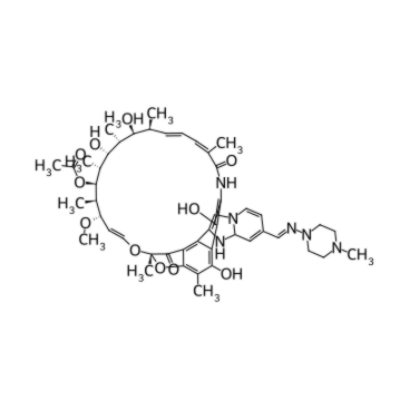 CO[C@H]1/C=C/O[C@@]2(C)Oc3c(C)c(O)c4c(O)c(c5c(c4c3C2=O)NC2C=C(/C=N/N3CCN(C)CC3)C=CN52)NC(=O)/C(C)=C\C=C\[C@H](C)[C@H](O)[C@@H](C)[C@@H](O)[C@@H](C)[C@H](OC(C)=O)[C@@H]1C